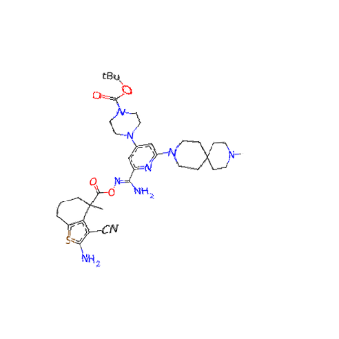 CN1CCC2(CC1)CCN(c1cc(N3CCN(C(=O)OC(C)(C)C)CC3)cc(/C(N)=N/OC(=O)C3(C)CCCc4sc(N)c(C#N)c43)n1)CC2